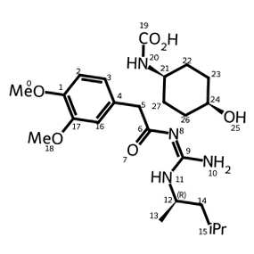 COc1ccc(CC(=O)N=C(N)N[C@H](C)CC(C)C)cc1OC.O=C(O)N[C@H]1CC[C@@H](O)CC1